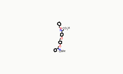 CON=C(COc1ccc(COc2ccc(C(CC(=O)O)=NOCc3ccccc3)cc2)cc1)c1ccccc1